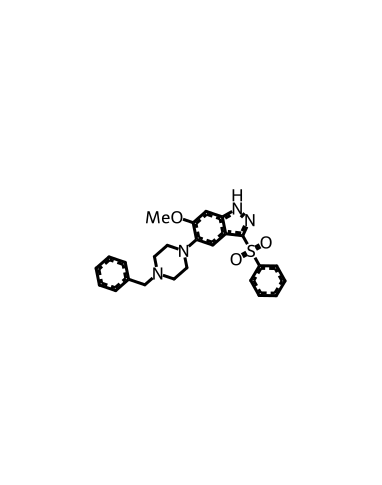 COc1cc2[nH]nc(S(=O)(=O)c3ccccc3)c2cc1N1CCN(Cc2ccccc2)CC1